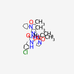 CC(C)C(=O)N(C1CCCCC1)[C@H]1CCN(NC(=O)[C@@H](Cc2ccc(Cl)cc2)NC(=O)[C@H]2CCCN2C(=O)OC(C)(C)C)C1